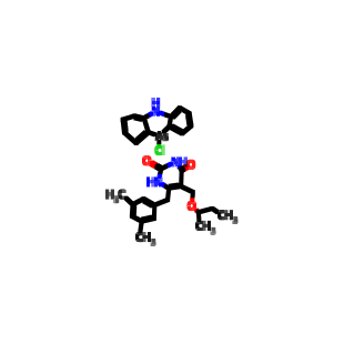 CCC(C)OCc1c(Cc2cc(C)cc(C)c2)[nH]c(=O)[nH]c1=O.Cl[As]1c2ccccc2Nc2ccccc21